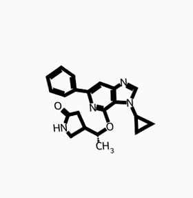 C[C@@H](Oc1nc(-c2ccccc2)cc2ncn(C3CC3)c12)C1CNC(=O)C1